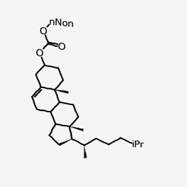 CCCCCCCCCOC(=O)OC1CC[C@@]2(C)C(=CCC3C2CC[C@@]2(C)C3CC[C@@H]2[C@H](C)CCCC(C)C)C1